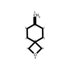 C=C1CCC2(CC1)COC2